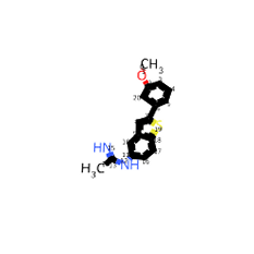 COc1cccc(-c2cc3cc(NC(C)=N)ccc3s2)c1